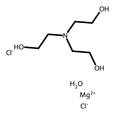 O.OCCN(CCO)CCO.[Cl-].[Cl-].[Mg+2]